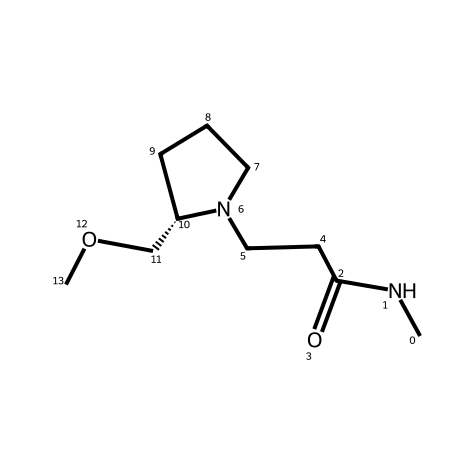 CNC(=O)CCN1CCC[C@H]1COC